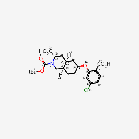 CC(C)(C)OC(=O)N1C[C@@H]2CC[C@H](Oc3cc(Cl)ccc3C(=O)O)C[C@@H]2C[C@H]1C(=O)O